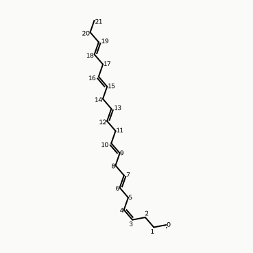 [CH2]CC/C=C\CC=CCC=CCC=CCC=CCC=CCC